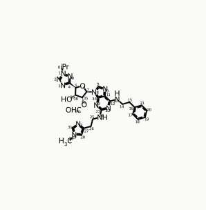 CC(C)n1nnc([C@H]2O[C@@H](n3cnc4c(NCCc5ccccc5)nc(NCCc5cn(C)cn5)nc43)[C@H](OC=O)[C@@H]2O)n1